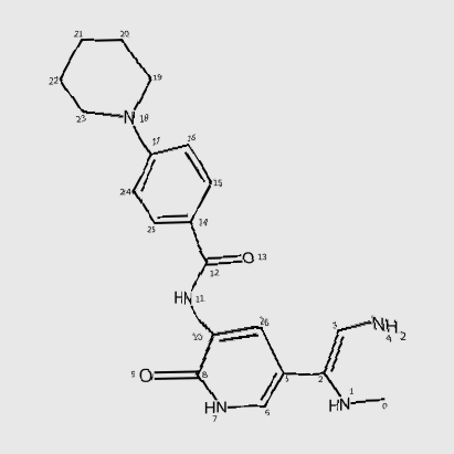 CN/C(=C\N)c1c[nH]c(=O)c(NC(=O)c2ccc(N3CCCCC3)cc2)c1